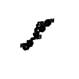 Cl.O=C(O)C[C@H](CN1CC[C@@H](CCc2ccc3c(n2)NCCC3)C1)c1cccc(N2CCNCC2)c1